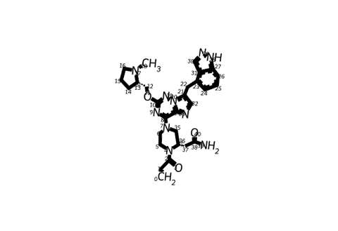 C=CC(=O)N1CCN(c2nc(OC[C@@H]3CCCN3C)nn3c(Cc4cccc5[nH]ncc45)cnc23)C[C@@H]1CC(N)=O